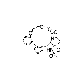 CS(=O)(=O)NC1CCCN2C(=O)OCCCCOc3ccccc3-c3cccc(c3)CC12